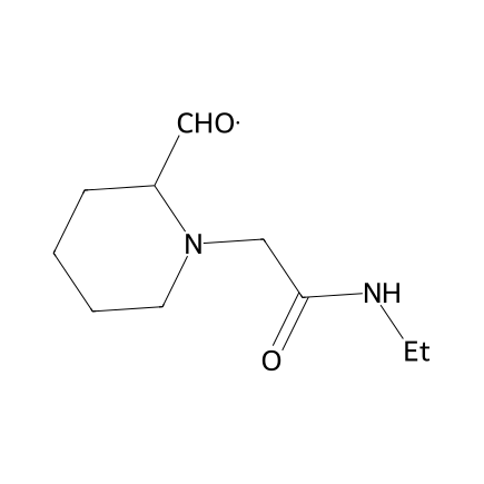 CCNC(=O)CN1CCCCC1[C]=O